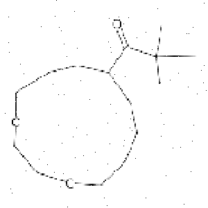 CC(C)(C)C(=O)C1CCCCCCCCCCC1